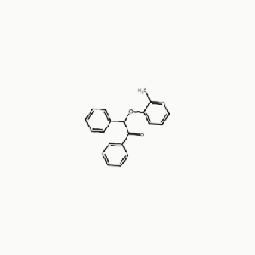 Cc1ccccc1OC(C(=O)c1ccccc1)c1ccccc1